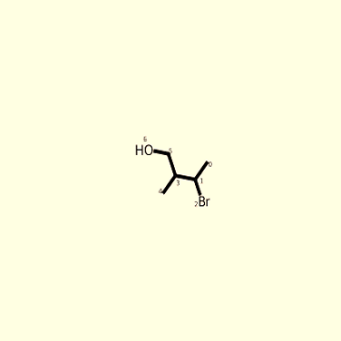 CC(Br)C(C)CO